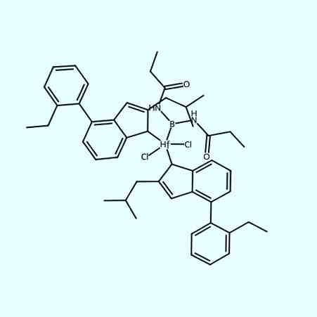 CCC(=O)N[B](NC(=O)CC)[Hf]([Cl])([Cl])([CH]1C(CC(C)C)=Cc2c(-c3ccccc3CC)cccc21)[CH]1C(CC(C)C)=Cc2c(-c3ccccc3CC)cccc21